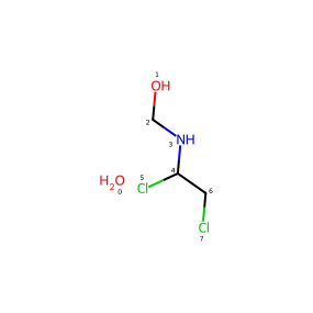 O.OCNC(Cl)CCl